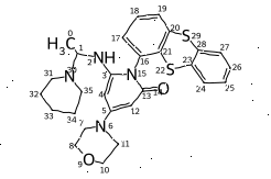 CC(Nc1cc(N2CCOCC2)cc(=O)n1-c1cccc2c1Sc1ccccc1S2)N1CCCCC1